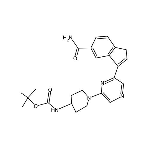 CC(C)(C)OC(=O)NC1CCN(c2cncc(C3=CCc4ccc(C(N)=O)cc43)n2)CC1